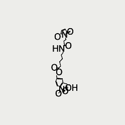 O=C(CCN1C(=O)C=CC1=O)NCCCCCC(=O)OCc1ccc([N+](=O)[O-])c(CO)c1